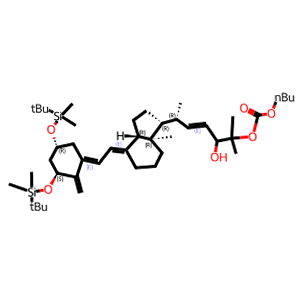 C=C1/C(=C/C=C2\CCC[C@]3(C)[C@@H]([C@H](C)/C=C/C(O)C(C)(C)OC(=O)OCCCC)CC[C@@H]23)C[C@@H](O[Si](C)(C)C(C)(C)C)C[C@@H]1O[Si](C)(C)C(C)(C)C